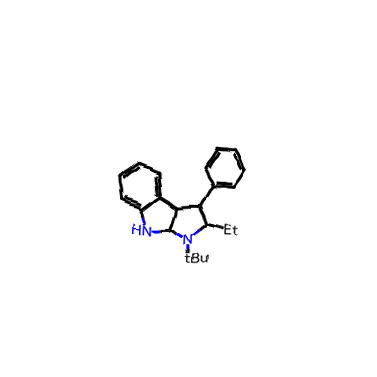 CCC1C(c2ccccc2)C2c3ccccc3NC2N1C(C)(C)C